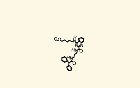 O=COCCCCCNc1nc(C(=O)NCCCNC(=O)C(c2ccccc2)c2ccccc2)nc2ccccc12